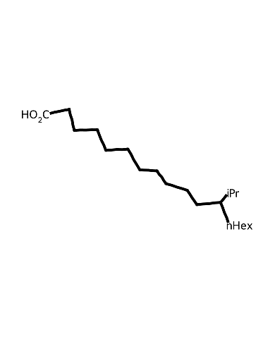 CCCCCCC(CCCCCCCCCCC(=O)O)C(C)C